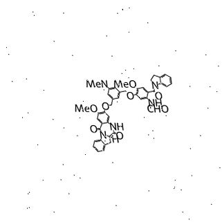 CNc1cc(COc2cc(NC=O)c(C(=O)N3CCc4ccccc43)cc2OC)cc(COc2cc3c(cc2OC)C(=O)N2c4ccccc4C[C@H]2C(=O)N3)c1